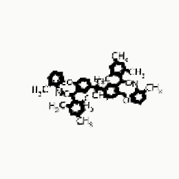 COc1ccc(C(C)(C)c2ccc(CO)c(C(=C=Nc3ccccc3C)c3c(C)cc(C)cc3C)c2)cc1C(=C=Nc1ccccc1C)c1c(C)cc(C)cc1C